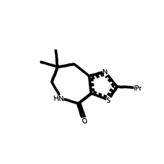 CC(C)c1nc2c(s1)C(=O)NCC(C)(C)C2